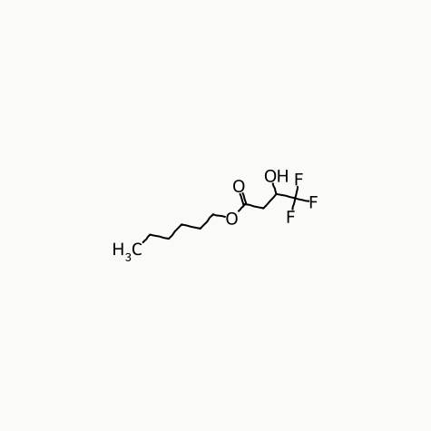 CCCCCCOC(=O)CC(O)C(F)(F)F